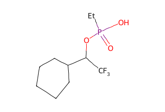 CCP(=O)(O)OC(C1CCCCC1)C(F)(F)F